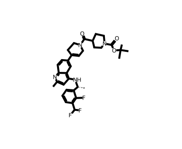 Cc1cc(N[C@H](C)c2cccc(C(F)F)c2F)c2cc(C3=CCN(C(=O)C4CCN(C(=O)OC(C)(C)C)CC4)CC3)ccc2n1